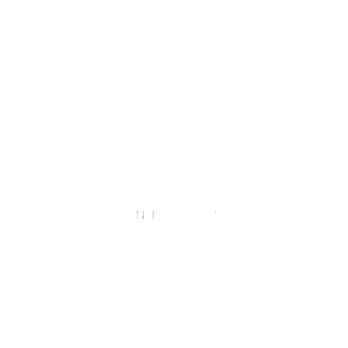 C/C=C/[C@@H](CCN)C1(CCC(=O)O)CC1